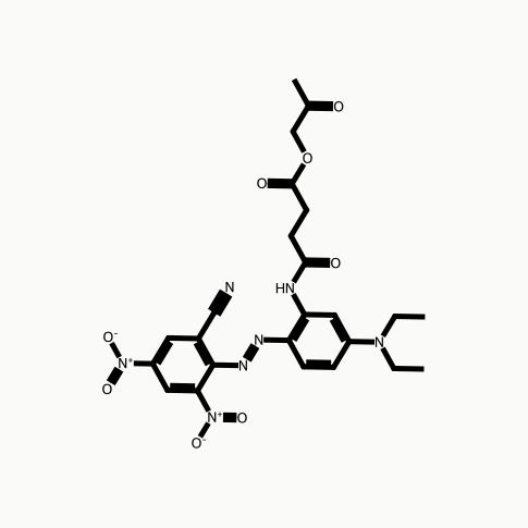 CCN(CC)c1ccc(N=Nc2c(C#N)cc([N+](=O)[O-])cc2[N+](=O)[O-])c(NC(=O)CCC(=O)OCC(C)=O)c1